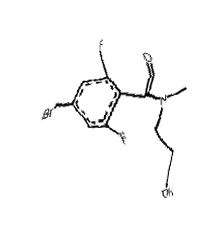 CN(CCO)C(=O)c1c(F)cc(Br)cc1F